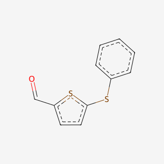 O=Cc1ccc(Sc2ccccc2)s1